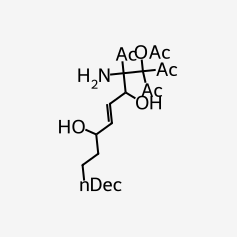 CCCCCCCCCCCCC(O)C=CC(O)C(N)(C(C)=O)C(OC(C)=O)(C(C)=O)C(C)=O